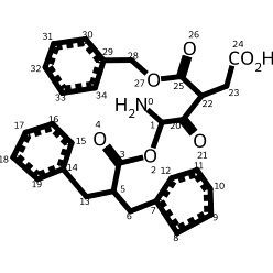 NC(OC(=O)C(Cc1ccccc1)Cc1ccccc1)C(=O)C(CC(=O)O)C(=O)OCc1ccccc1